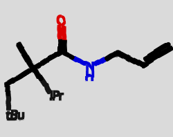 C=CCNC(=O)C(C)(CC(C)(C)C)C(C)C